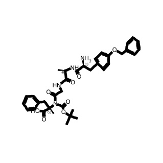 C[C@@H](NC(=O)[C@@H](N)Cc1ccc(OCc2ccccc2)cc1)C(=O)NCC(=O)N(C(=O)OC(C)(C)C)[C@@](C)(Cc1ccccc1)C(=O)O